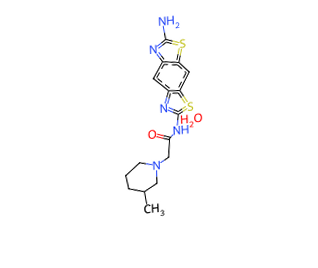 CC1CCCN(CC(=O)Nc2nc3cc4nc(N)sc4cc3s2)C1.O